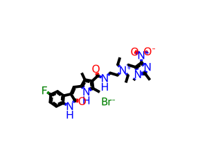 CC[N+](CC)(CCNC(=O)c1c(C)[nH]c(/C=C2\C(=O)Nc3ccc(F)cc32)c1C)Cc1c([N+](=O)[O-])nc(C)n1C.[Br-]